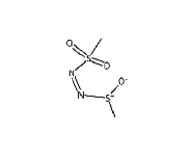 C[S+]([O-])/N=N\S(C)(=O)=O